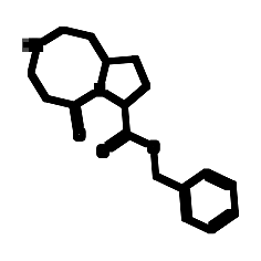 O=C(OCc1ccccc1)C1CCC2CCNCCC(=O)N21